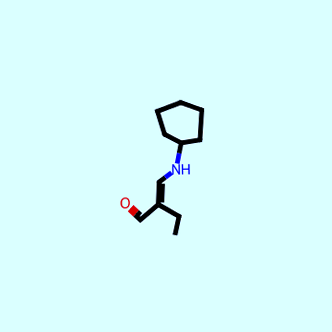 CC/C(C=O)=C\NC1CCCCC1